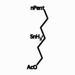 CCCCCCCCCCOC(C)=O.[SnH2]